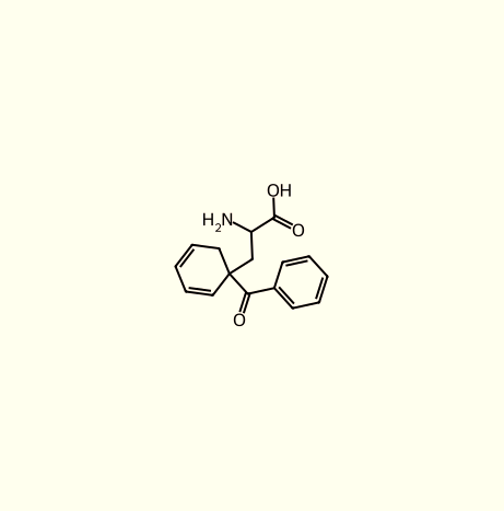 NC(CC1(C(=O)c2ccccc2)C=CC=CC1)C(=O)O